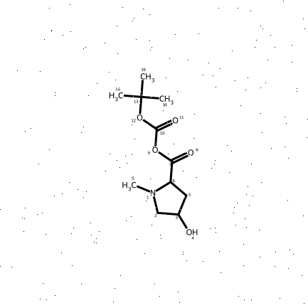 CN1CC(O)CC1C(=O)OC(=O)OC(C)(C)C